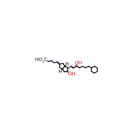 O=C(O)CCC/C=C1\C[C@@H]2C[C@@H](O)[C@H](/C=C/[C@H](O)CCCCC3CCCCC3)[C@H]2C1